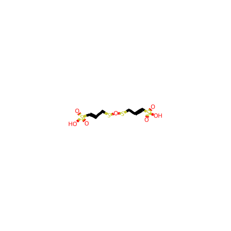 O=S(=O)(O)C=CCSOSCC=CS(=O)(=O)O